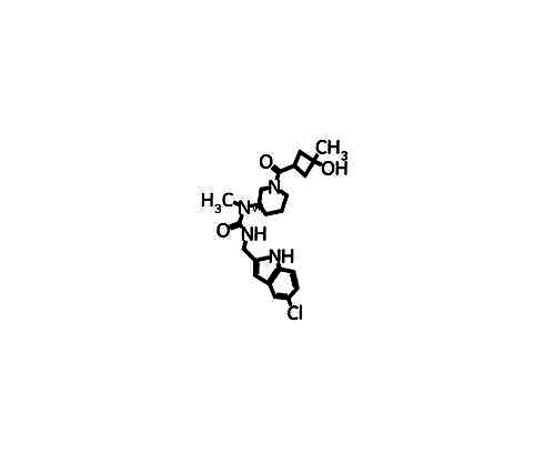 CN(C(=O)NCc1cc2cc(Cl)ccc2[nH]1)[C@@H]1CCCN(C(=O)C2CC(C)(O)C2)C1